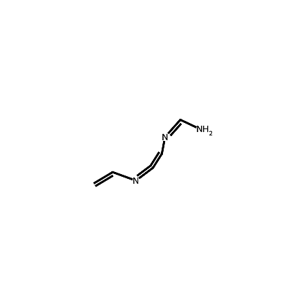 C=CN=C=C/N=C\N